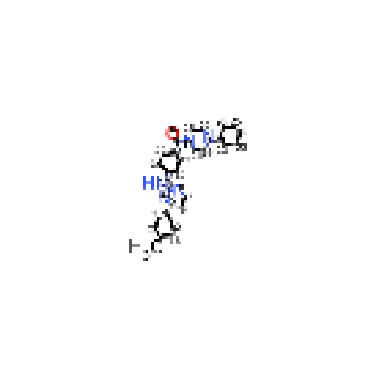 Cc1ccc(-c2ccnc(Nc3ccc(C(=O)N4CCN(c5ccccc5)CC4)cc3)n2)cc1